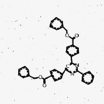 O=C(OCc1ccccc1)c1ccc(-c2cc(-c3ccc(C(=O)OCc4ccccc4)cc3)nc(-c3ccccc3)n2)cc1